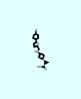 O=C(O)[C@@H]1C[C@H]1c1ccc(NCc2ccc(-c3ccc(Cl)cc3)o2)cc1